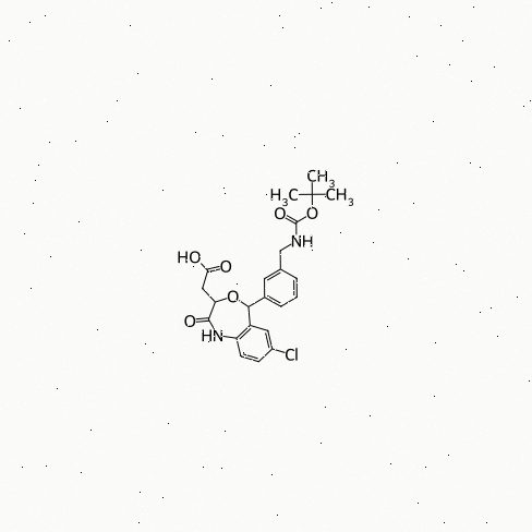 CC(C)(C)OC(=O)NCc1cccc(C2OC(CC(=O)O)C(=O)Nc3ccc(Cl)cc32)c1